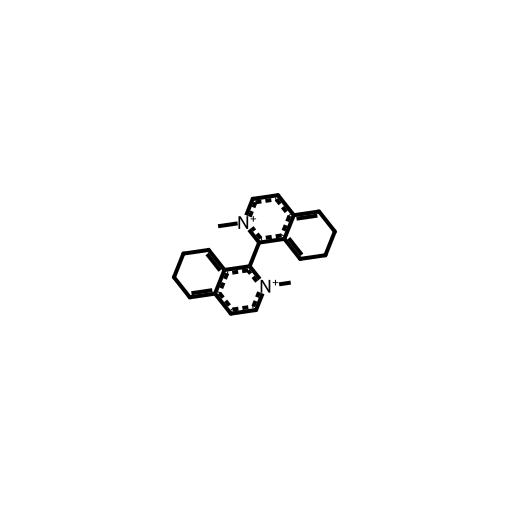 C[n+]1ccc2c(c1-c1c3c(cc[n+]1C)=CCCC=3)=CCCC=2